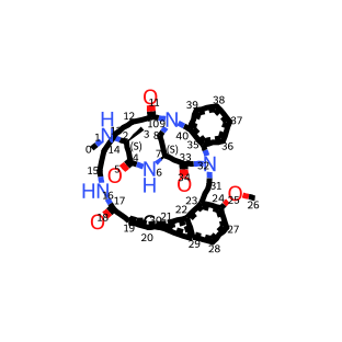 CN[C@@H](C)C(=O)N[C@H]1CN2C(=O)CCCCNC(=O)c3ccc4c(c(OC)ccc4c3)CN(C1=O)c1ccccc12